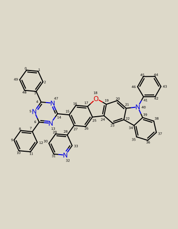 c1ccc(-c2nc(-c3ccccc3)nc(-c3cc4oc5cc6c(cc5c4cc3-c3cccnc3)c3ccccc3n6-c3ccccc3)n2)cc1